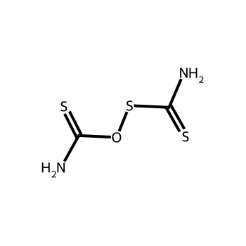 NC(=S)OSC(N)=S